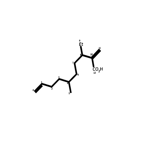 C=CCCC(C)CCC(CC)C(=C)C(=O)O